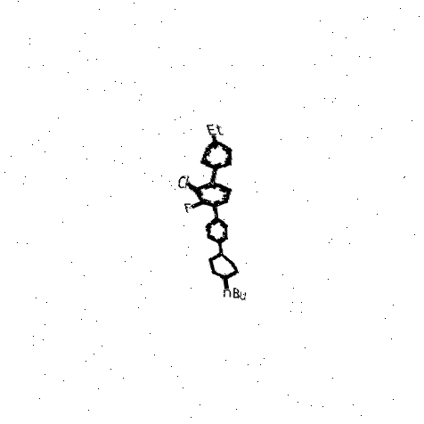 CCCCC1CCC(c2ccc(-c3ccc(-c4ccc(CC)cc4)c(Cl)c3F)cc2)CC1